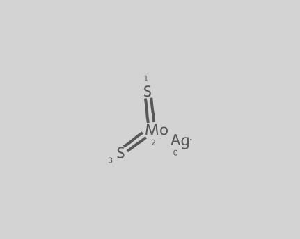 [Ag].[S]=[Mo]=[S]